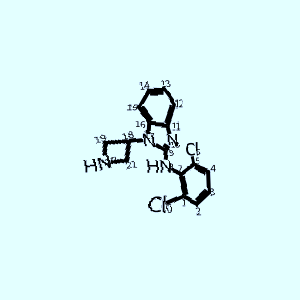 Clc1cccc(Cl)c1Nc1nc2ccccc2n1C1CNC1